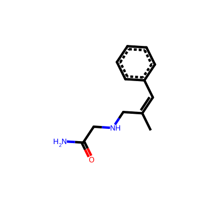 CC(=Cc1ccccc1)CNCC(N)=O